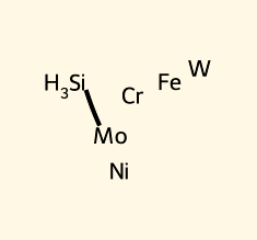 [Cr].[Fe].[Ni].[SiH3][Mo].[W]